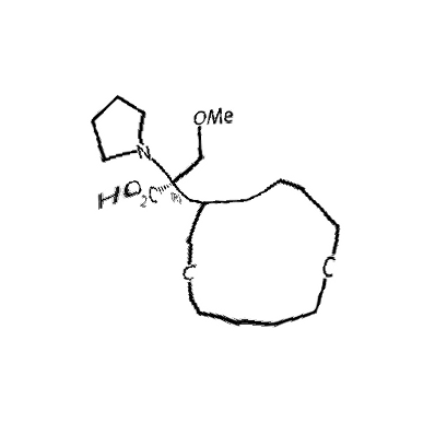 COC[C@@](C(=O)O)(C1CCCCCCCCCCC1)N1CCCC1